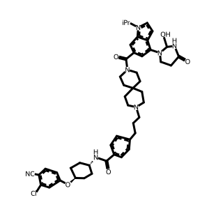 CC(C)n1ccc2c(N3CCC(=O)NC3O)cc(C(=O)N3CCC4(CCN(CCCc5ccc(C(=O)N[C@H]6CC[C@H](Oc7ccc(C#N)c(Cl)c7)CC6)cc5)CC4)CC3)cc21